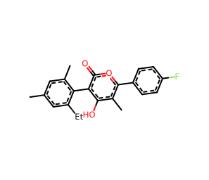 CCc1cc(C)cc(C)c1-c1c(O)c(C)c(-c2ccc(F)cc2)oc1=O